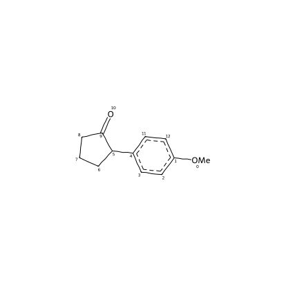 COc1ccc(C2CCCC2=O)cc1